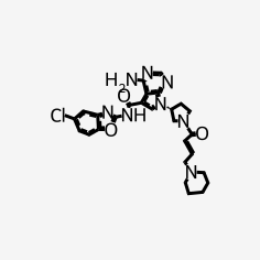 Nc1ncnc2c1c(C(=O)Nc1nc3cc(Cl)ccc3o1)cn2[C@@H]1CCN(C(=O)C=CCN2CCCCC2)C1